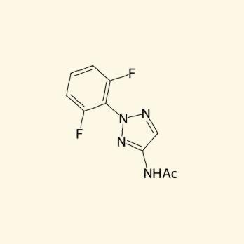 CC(=O)Nc1cnn(-c2c(F)cccc2F)n1